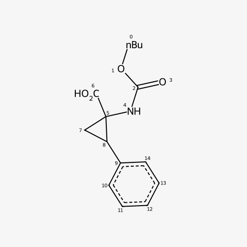 CCCCOC(=O)NC1(C(=O)O)CC1c1ccccc1